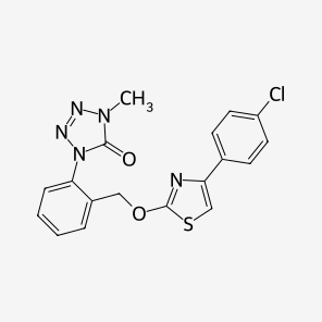 Cn1nnn(-c2ccccc2COc2nc(-c3ccc(Cl)cc3)cs2)c1=O